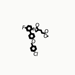 COC(=O)CCC1CN(c2ccc(F)cc2-c2ccc(OCc3ccc(Cl)cc3)cc2)C1=O